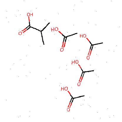 CC(=O)O.CC(=O)O.CC(=O)O.CC(=O)O.CC(C)C(=O)O